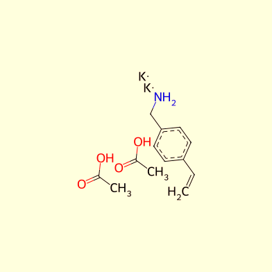 C=Cc1ccc(CN)cc1.CC(=O)O.CC(=O)O.[K].[K]